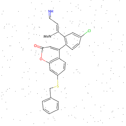 CN/C(=C\C=N)c1cc(Cl)ccc1-c1cc(=O)oc2cc(SCc3ccccc3)ccc12